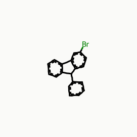 Brc1ccc2c(c1)-c1ccccc1C2c1ccccc1